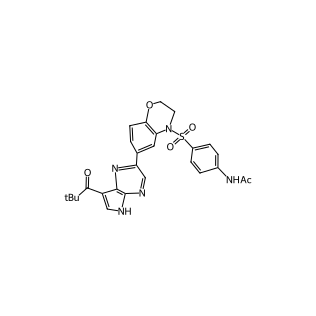 CC(=O)Nc1ccc(S(=O)(=O)N2CCOc3ccc(-c4cnc5[nH]cc(C(=O)C(C)(C)C)c5n4)cc32)cc1